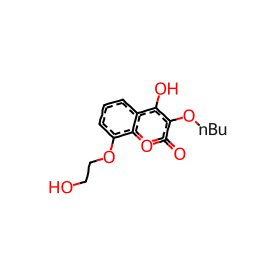 CCCCOc1c(O)c2cccc(OCCO)c2oc1=O